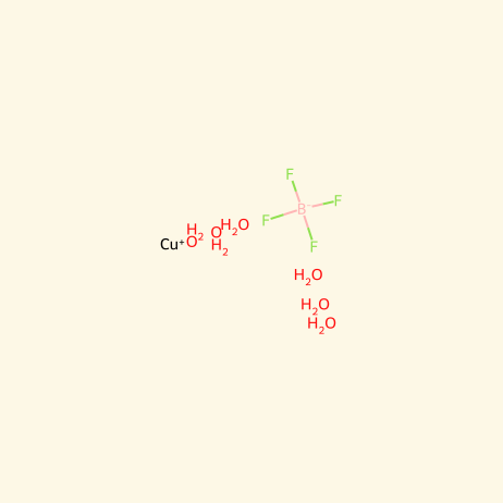 F[B-](F)(F)F.O.O.O.O.O.O.[Cu+]